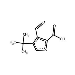 CC(C)(C)c1csc(C(=O)O)c1C=O